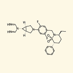 CC[C@H]1CC[C@H](c2ccccc2)S(=O)(=O)N1Cc1cc(F)c(N2C[C@@H]3[C@H](C2)[C@H]3N(C=N)C=N)cc1F